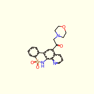 O=C(CN1CCOCC1)c1cc2c(c3ncccc13)NS(=O)(=O)c1ccccc1-2